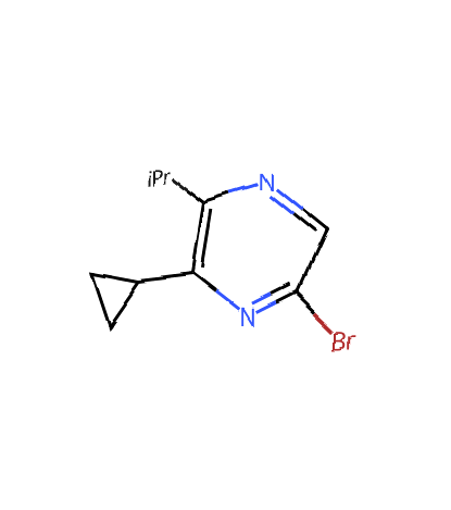 CC(C)c1ncc(Br)nc1C1CC1